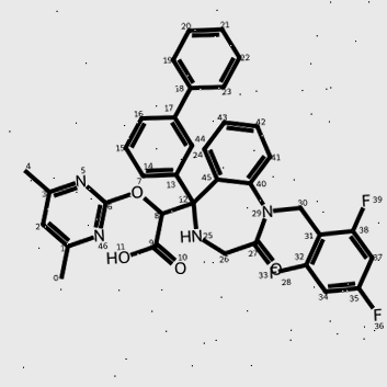 Cc1cc(C)nc(OC(C(=O)O)C2(c3cccc(-c4ccccc4)c3)NCC(=O)N(Cc3c(F)cc(F)cc3F)c3ccccc32)n1